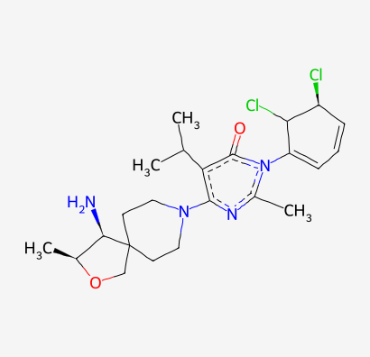 Cc1nc(N2CCC3(CC2)CO[C@@H](C)[C@H]3N)c(C(C)C)c(=O)n1C1=CC=C[C@H](Cl)C1Cl